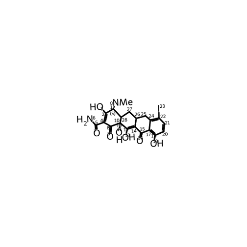 CN[C@@H]1C(O)=C(C(N)=O)C(=O)[C@@]2(O)C(O)=C3C(=O)c4c(O)ccc(I)c4CC3CC12